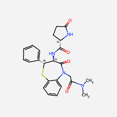 CN(C)C(=O)CN1C(=O)[C@H](NC(=O)[C@@H]2CCC(=O)N2)[C@@H](c2ccccc2)Sc2ccccc21